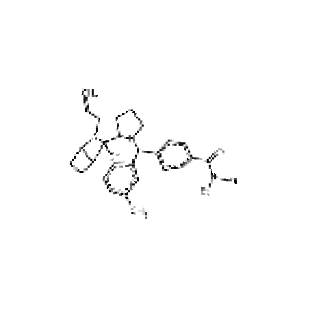 C=CCN1C2CCC2C1(C)C1CCCN1C(c1ccc(C(=O)N(CC)CC)cc1)c1cccc(C)c1